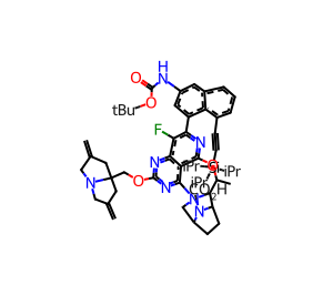 C=C1CN2CC(=C)CC2(COc2nc3c4c(nc(-c5cc(NC(=O)OC(C)(C)C)cc6cccc(C#C[Si](C(C)C)(C(C)C)C(C)C)c56)c(F)c4n2)OC(C)C2C4CCC(CN32)N4C(=O)O)C1